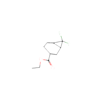 CCOC(=O)C1CCC2C(C1)C2(F)F